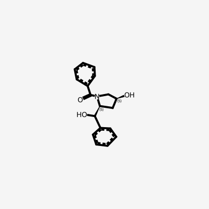 O=C(c1ccccc1)N1C[C@@H](O)C[C@H]1C(O)c1ccccc1